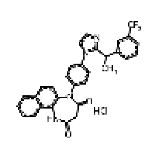 CC(c1cccc(C(F)(F)F)c1)c1nccn1-c1ccc(N2C(=O)CC(=O)Nc3c2ccc2ccccc32)cc1.Cl